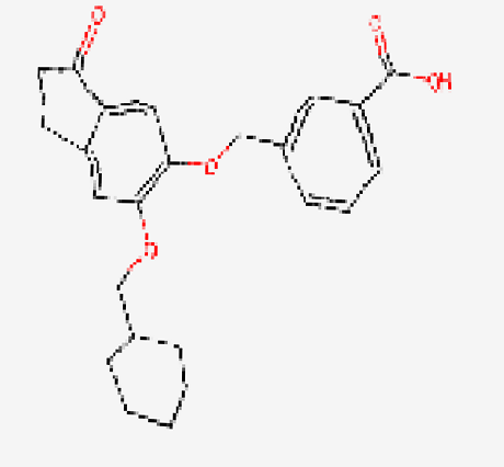 O=C(O)c1cccc(COc2cc3c(cc2OCC2CCCCC2)CCC3=O)c1